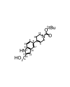 CC(C)(C)OC(=O)N1CC=C(c2ccc3[nH]c(C(=O)O)cc3c2)CC1